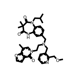 COCc1ncccc1CN(CCn1cc(C)c2occc2c1=O)Cc1ccc2c(c1)NC(=O)C(C)(C)C(=O)N2CC(C)C